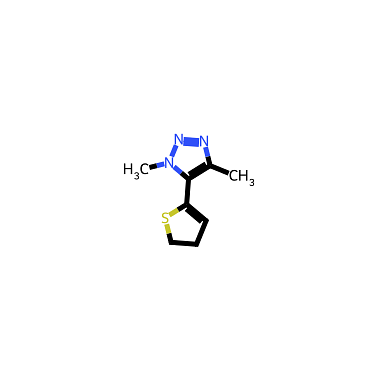 Cc1nnn(C)c1C1=CCCS1